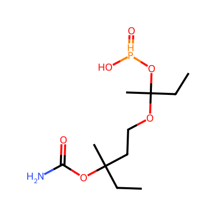 CCC(C)(CCOC(C)(CC)O[PH](=O)O)OC(N)=O